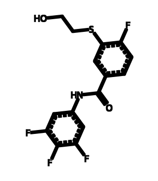 O=C(Nc1cc(F)c(F)c(F)c1)c1ccc(F)c(SCCO)c1